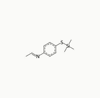 CC=Nc1ccc(S[Si](C)(C)C)cc1